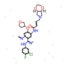 C=Nc1cc(O[C@H]2CCOC2)c(NC(=O)/C=C/CN2C[C@@H]3OCCO[C@@H]3C2)cc1/C(=N\C)Nc1ccc(F)c(Cl)c1